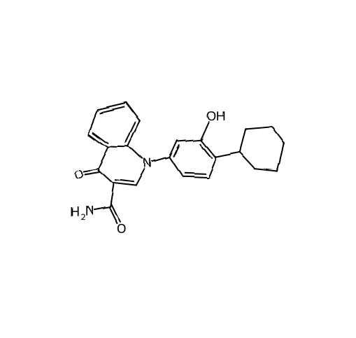 NC(=O)c1cn(-c2ccc(C3CCCCC3)c(O)c2)c2ccccc2c1=O